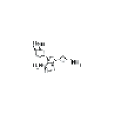 NCC1CC(n2cc(-c3ccc4cn[nH]c4c3)c3c(N)ncnc32)C1